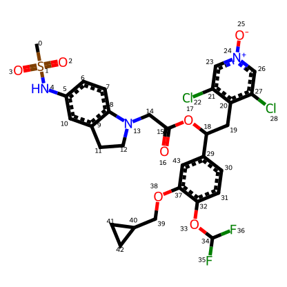 CS(=O)(=O)Nc1ccc2c(c1)CCN2CC(=O)OC(Cc1c(Cl)c[n+]([O-])cc1Cl)c1ccc(OC(F)F)c(OCC2CC2)c1